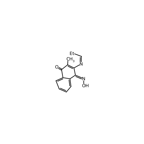 CC/C=N\C1=C(C)C(=O)c2ccccc2/C1=N\O